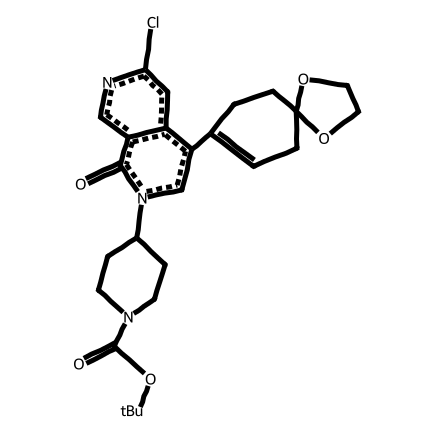 CC(C)(C)OC(=O)N1CCC(n2cc(C3=CCC4(CC3)OCCO4)c3cc(Cl)ncc3c2=O)CC1